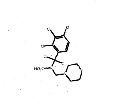 O=C(O)N(CN1CCOCC1)C(Cl)(Cl)c1ccc(Cl)c(Cl)c1Cl